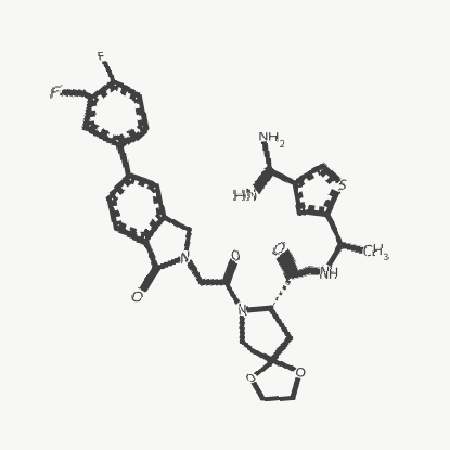 CC(NC(=O)[C@@H]1CC2(CN1C(=O)CN1Cc3cc(-c4ccc(F)c(F)c4)ccc3C1=O)OCCO2)c1cc(C(=N)N)cs1